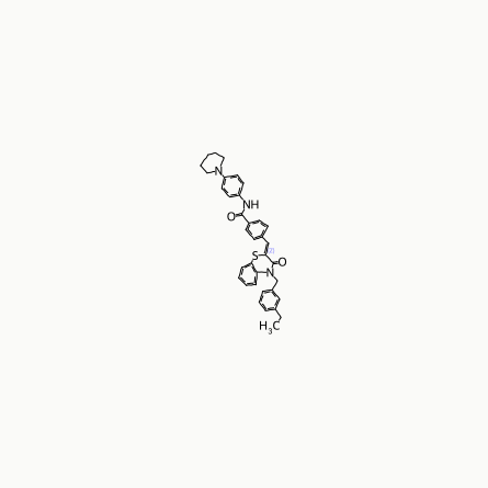 CCc1cccc(CN2C(=O)/C(=C/c3ccc(C(=O)Nc4ccc(N5CCCCC5)cc4)cc3)Sc3ccccc32)c1